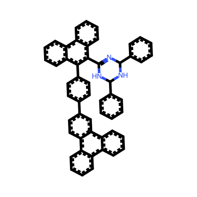 c1ccc(C2N=C(c3c(-c4ccc(-c5ccc6c7ccccc7c7ccccc7c6c5)cc4)c4ccccc4c4ccccc34)NC(c3ccccc3)N2)cc1